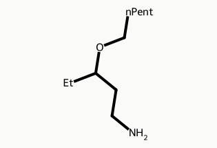 CCCCCCOC(CC)CCN